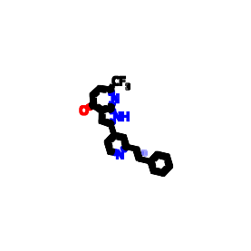 O=c1ccc(C(F)(F)F)nc2[nH]c(-c3ccnc(/C=C/c4ccccc4)c3)cc12